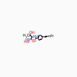 CCCC#Cc1ccc(C(=O)N[C@H](C(=O)NO)[C@@H](C)O)cc1